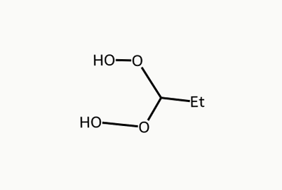 CCC(OO)OO